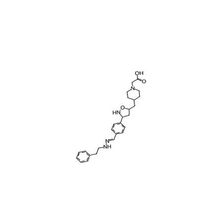 O=C(O)CN1CCC(CC2CC(c3ccc(C=NNCCc4ccccc4)cc3)NO2)CC1